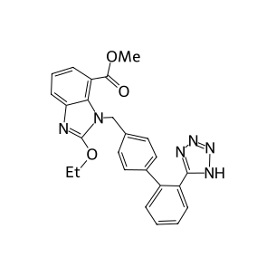 CCOc1nc2cccc(C(=O)OC)c2n1Cc1ccc(-c2ccccc2-c2nnn[nH]2)cc1